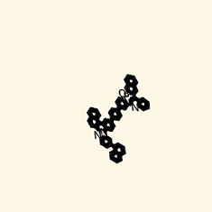 O=P(c1ccc(-c2ccc(-c3ccc4c(c3)c3c5ccccc5ccc3c3nc5ccc(-c6cccc7ccccc67)cc5n43)cc2)cc1)(c1ccc2ccccc2c1)c1cnc2ccccc2c1